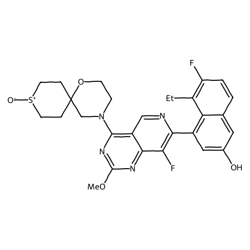 CCc1c(F)ccc2cc(O)cc(-c3ncc4c(N5CCOC6(CC[S+]([O-])CC6)C5)nc(OC)nc4c3F)c12